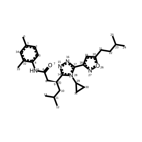 Cc1ccc(NC(=O)C[C@H](CC(C)C)c2nnc(-c3cc(CCC(C)C)on3)n2C2CC2)c(C)c1